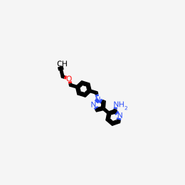 C#CCOCc1ccc(Cn2cc(-c3cccnc3N)cn2)cc1